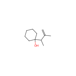 C=C(C)C(C)C1(O)CCCCC1